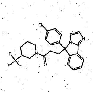 O=C(CCC1(c2ccc(Cl)cc2)c2ccccc2-c2nccn21)N1CCCC(C(F)(F)F)C1